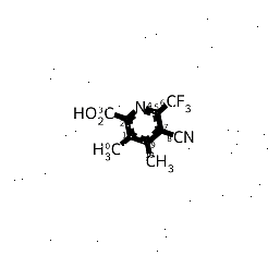 Cc1c(C(=O)O)nc(C(F)(F)F)c(C#N)c1C